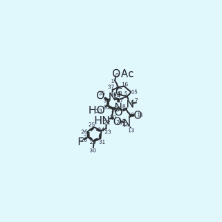 CC(=O)OCC12CCC(N(C)C(=O)C(=O)N(C)C)(CC1)c1nc(C(=O)NCc3ccc(F)c(C)c3)c(O)c(=O)n1C2